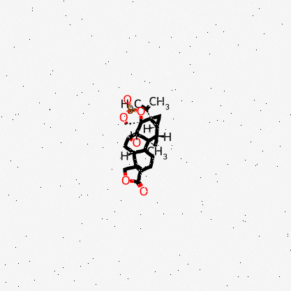 CC(C)[C@]12C[C@H]1[C@@H]1C[C@]13[C@]1(O[C@H]1C[C@H]1C4=C(CC[C@@]13C)C(=O)OC4)[C@]21COS(=O)O1